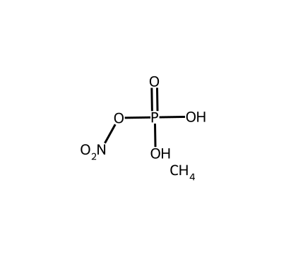 C.O=[N+]([O-])OP(=O)(O)O